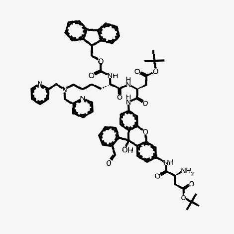 CC(C)(C)OC(=O)C[C@H](NC(=O)[C@H](CCCCN(Cc1ccccn1)Cc1ccccn1)NC(=O)OCC1c2ccccc2-c2ccccc21)C(=O)Nc1ccc2c(c1)Oc1cc(NC(=O)[C@@H](N)CC(=O)OC(C)(C)C)ccc1C2(O)c1ccccc1C=O